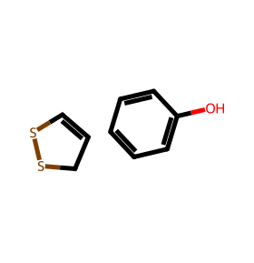 C1=CSSC1.Oc1ccccc1